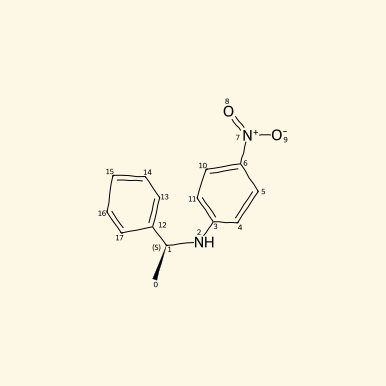 C[C@H](Nc1ccc([N+](=O)[O-])cc1)c1ccccc1